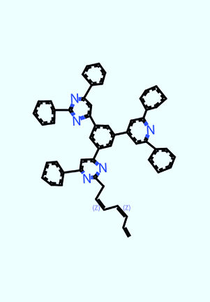 C=C/C=C\C=C/Cc1nc(-c2ccccc2)cc(-c2cc(-c3cc(-c4ccccc4)nc(-c4ccccc4)c3)cc(-c3cc(-c4ccccc4)nc(-c4ccccc4)n3)c2)n1